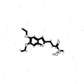 CCOc1cc2cc(CCC(=O)N(C)O)sc2cc1OCC